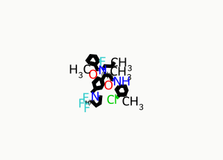 CCCN(C(=O)c1c(C)cccc1F)[C@@H](c1ccc(CN2CCC[C@@H]2C(F)(F)F)cc1)[C@H](C)C(=O)Nc1ccc(C)c(Cl)c1